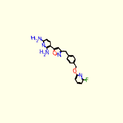 Nc1ccc(-c2cc(Cc3ccc(COc4cccc(F)n4)cc3)no2)c(N)n1